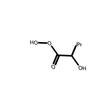 CC(C)C(O)C(=O)OO